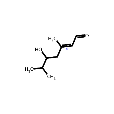 C/C(=C\C=O)CC(O)C(C)C